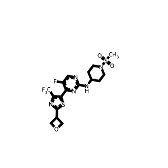 CS(=O)(=O)N1CCC(Nc2ncc(F)c(-c3sc(C4COC4)nc3C(F)(F)F)n2)CC1